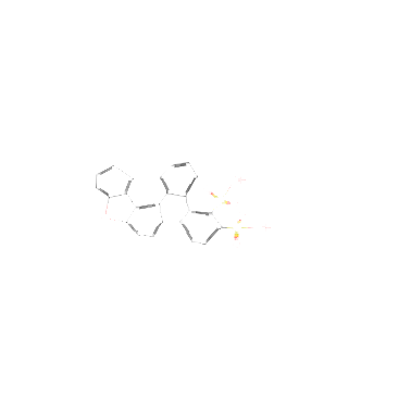 O=S(=O)(O)c1cccc(-c2ccccc2-c2cccc3oc4ccccc4c23)c1S(=O)(=O)O